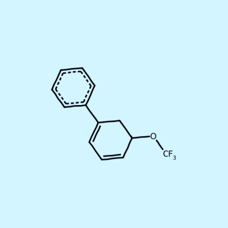 FC(F)(F)O[C]1C=CC=C(c2ccccc2)C1